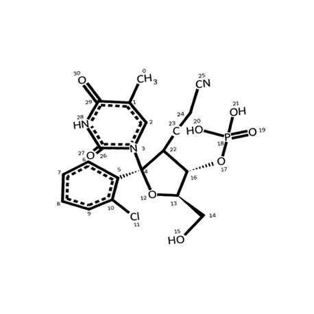 Cc1cn([C@]2(c3ccccc3Cl)O[C@H](CO)[C@@H](OP(=O)(O)O)C2CCC#N)c(=O)[nH]c1=O